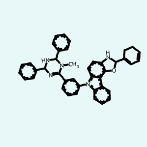 CN1C(c2cccc(-n3c4ccccc4c4c5c(ccc43)NC(C3=CC=CCC3)O5)c2)=NC(c2ccccc2)NC1c1ccccc1